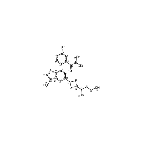 CCN(C(=O)c1cc(F)ccc1-c1cc(C2CN(C(CCO)C(C)C)C2)cn2c(C)ncc12)C(C)C